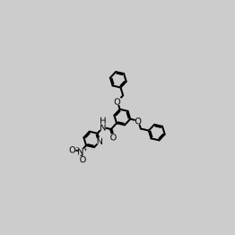 O=C(Nc1ccc([N+](=O)[O-])cn1)c1cc(OCc2ccccc2)cc(OCc2ccccc2)c1